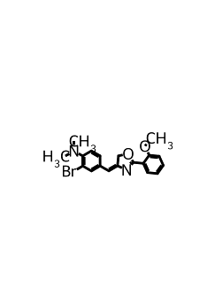 COc1ccccc1C1=NC(=Cc2ccc(N(C)C)c(Br)c2)CO1